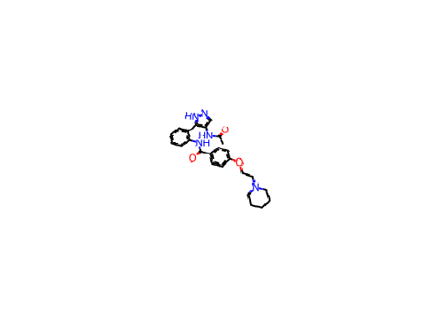 CC(=O)Nc1cn[nH]c1-c1ccccc1NC(=O)c1ccc(OCCN2CCCCC2)cc1